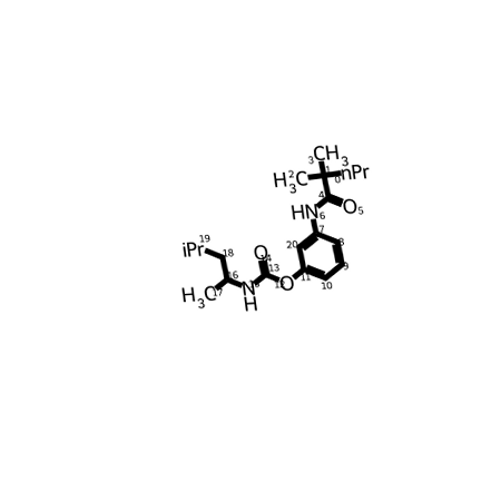 CCCC(C)(C)C(=O)Nc1cccc(OC(=O)NC(C)CC(C)C)c1